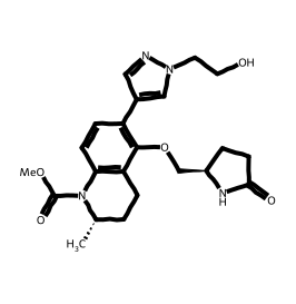 COC(=O)N1c2ccc(-c3cnn(CCO)c3)c(OC[C@H]3CCC(=O)N3)c2CC[C@@H]1C